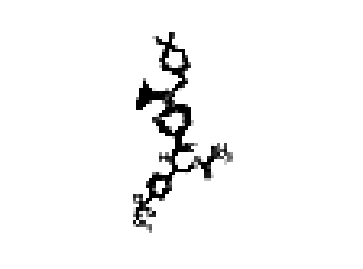 CCS(=O)(=O)c1ccc([C@H](COC(N)=O)NC(=O)c2ccc(N(CC3CCC(F)(F)CC3)C3CC3)nc2)cc1